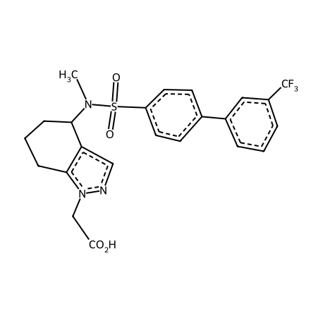 CN(C1CCCc2c1cnn2CC(=O)O)S(=O)(=O)c1ccc(-c2cccc(C(F)(F)F)c2)cc1